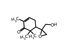 CC1=CCC(C2(CO)CO2)C(C)(C)C1=O